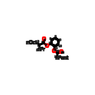 CCCCCCCCC(CCC)C(=O)Oc1ccccc1OC(=O)CCCCC